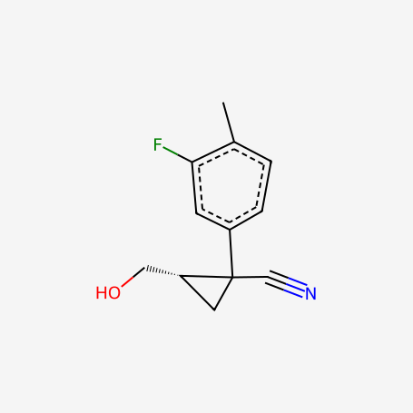 Cc1ccc(C2(C#N)C[C@@H]2CO)cc1F